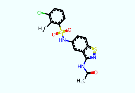 CC(=O)Nc1nsc2ccc(NS(=O)(=O)c3cccc(Cl)c3C)cc12